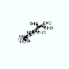 O=COCN(CCN(COC=O)COC=O)CCN(COC=O)CC(=O)NCCNCC1O[C@H](O)C(O)[C@@H](O)[C@@H]1O